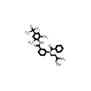 Cc1cc(C(F)(C(F)(F)F)C(F)(F)F)cc(C)c1NC(=O)c1cccc(N(CCC(N)=NO)C(=O)c2ccccc2)c1